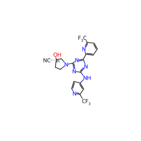 N#C[C@@]1(O)CCN(c2nc(Nc3ccnc(C(F)(F)F)c3)nc(-c3cccc(C(F)(F)F)n3)n2)C1